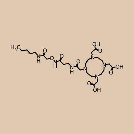 CCCCCNC(=O)CONC(=O)CCNC(=O)CN1CCN(CC(=O)O)CCN(CC(=O)O)CCN(CC(=O)O)CC1